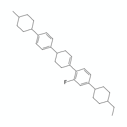 CCC1CCC(c2ccc(C3=CCC(c4ccc(C5CCC(C)CC5)cc4)CC3)c(F)c2)CC1